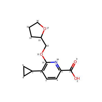 O=C(O)c1ccc(C2CC2)c(OCC2CCCO2)n1